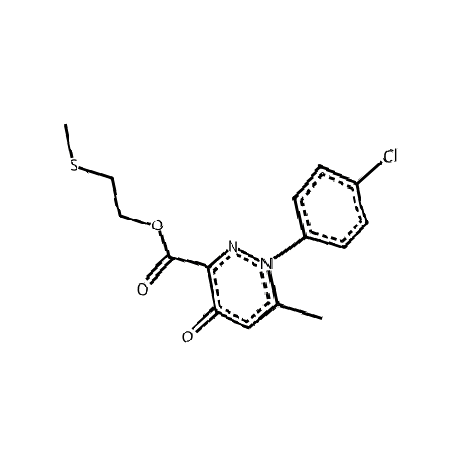 CSCCOC(=O)c1nn(-c2ccc(Cl)cc2)c(C)cc1=O